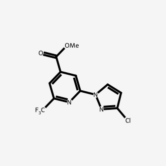 COC(=O)c1cc(-n2ccc(Cl)n2)nc(C(F)(F)F)c1